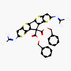 N#CC(C#N)=Nc1cc2sc3c(c2s1)C(C(=O)OCc1ccccc1)(C(=O)OCc1ccccc1)c1c-3sc2cc(/N=C(\N)C#N)sc12